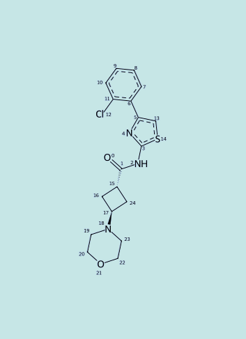 O=C(Nc1nc(-c2ccccc2Cl)cs1)[C@H]1C[C@H](N2CCOCC2)C1